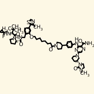 Cc1ncsc1-c1ccc(CNC(=O)[C@@H]2CCCN2C(=O)[C@@H](NCC2(F)CC2)C(C)(C)C)c(OCCCCCCCC(=O)N2CCC(c3ccc(Nc4nc(N5CCC[C@@H](N6CCN(C)C6=O)C5)cnc4C(N)=O)cc3)CC2)c1